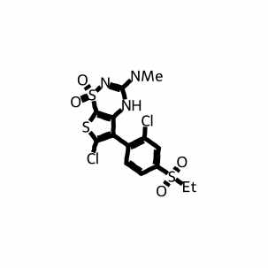 CCS(=O)(=O)c1ccc(-c2c(Cl)sc3c2NC(NC)=NS3(=O)=O)c(Cl)c1